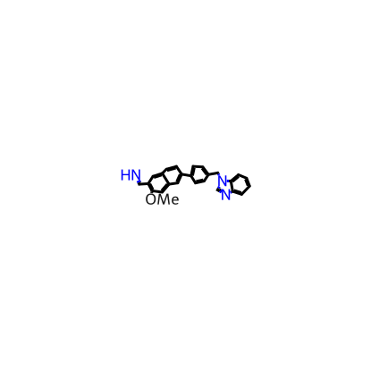 COc1cc2cc(-c3ccc(Cn4cnc5ccccc54)cc3)ccc2cc1C=N